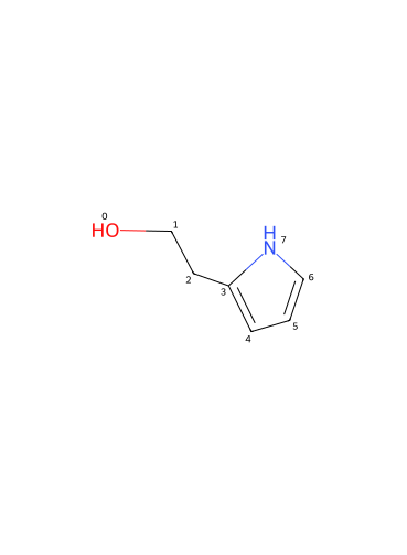 OCCc1ccc[nH]1